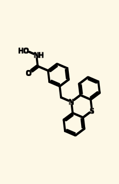 O=C(NO)c1cccc(CN2c3ccccc3Sc3ccccc32)c1